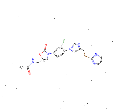 CC(=O)NC[C@H]1CN(c2ccc(-n3cnc(CSc4ncccn4)c3)c(F)c2)C(=O)O1